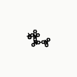 CC1=C(C)C2=CC3=C(CC2O1)N(c1ccc2c(c1)c1cc(-c4ccc5c(c4)c4ccccc4n5-c4ccccc4)ccc1n2-c1ccccc1)c1ccccc1-c1ccccc13